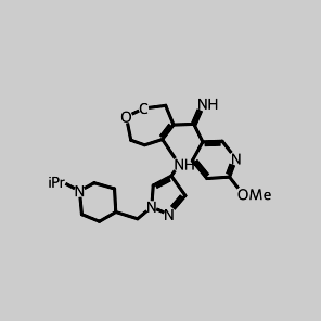 COc1ccc(C(=N)C2=C(Nc3cnn(CC4CCN(C(C)C)CC4)c3)CCOCC2)cn1